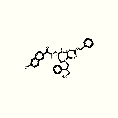 CC[C@H](CN1CC[C@@H](CNC(=O)c2ccc3cc(Cl)ccc3c2)N[C@@H](CC(=O)OCc2ccccc2)C1=O)c1ccccc1